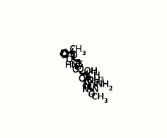 COc1nc(N)nc2c1ncn2[C@@H]1OC(COP2(=O)NC(C(=O)O[C@H](C)c3ccccc3)CS2)[C@@H](O)[C@@]1(C)O